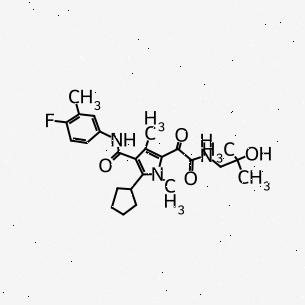 Cc1cc(NC(=O)c2c(C)c(C(=O)C(=O)NCC(C)(C)O)n(C)c2C2CCCC2)ccc1F